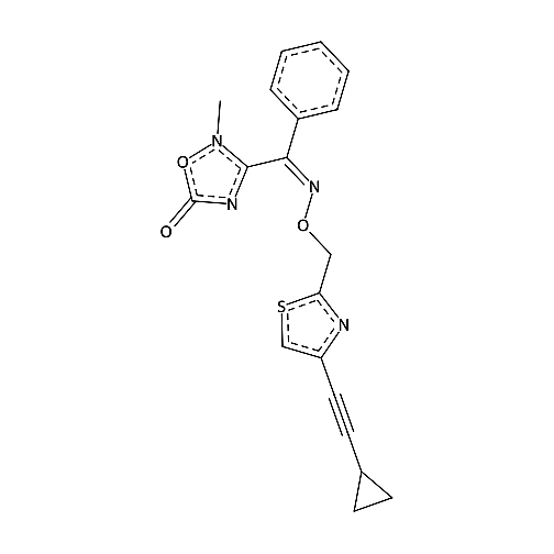 Cn1oc(=O)nc1/C(=N\OCc1nc(C#CC2CC2)cs1)c1ccccc1